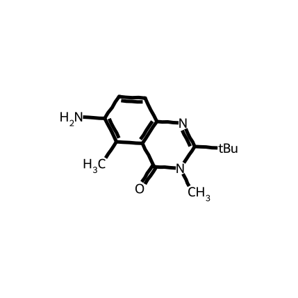 Cc1c(N)ccc2nc(C(C)(C)C)n(C)c(=O)c12